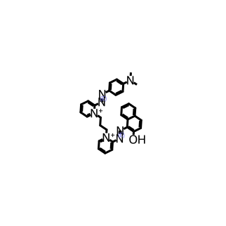 CN(C)c1ccc(/N=N/c2cccc[n+]2CCC[n+]2ccccc2/N=N/c2c(O)ccc3ccccc23)cc1